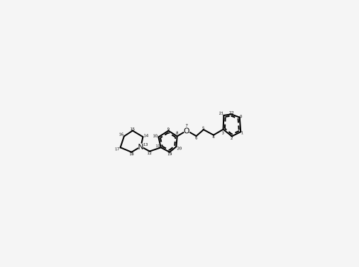 c1ccc(CCCOc2ccc(CN3CCCCC3)cc2)cc1